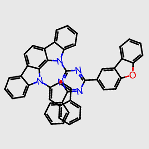 c1ccc(-c2nc(-c3ccc4oc5ccccc5c4c3)nc(-n3c4ccccc4c4ccc5c6ccccc6n(-c6ccc7ccccc7c6)c5c43)n2)cc1